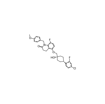 COc1ccc(CN2C(=O)CCc3c(OC[C@]4(O)CC[C@@H](c5ccc(Cl)cc5F)CC4)ccc(F)c32)cc1